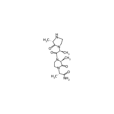 C[C@@H]1NCCN([C@@H](C)C(=O)N2CCN([C@@H](C)C(N)=O)C(=O)[C@@H]2C)C1=O